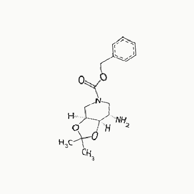 CC1(C)O[C@H]2[C@H](CN(C(=O)OCc3ccccc3)C[C@@H]2N)O1